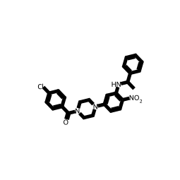 CC(Nc1cc(N2CCN(C(=O)c3ccc(Cl)cc3)CC2)ccc1[N+](=O)[O-])c1ccccc1